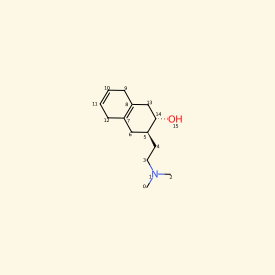 CN(C)CC[C@H]1CC2=C(CC=CC2)C[C@@H]1O